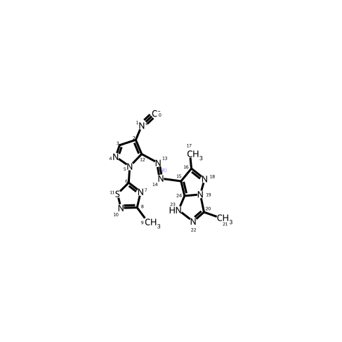 [C-]#[N+]c1cnn(-c2nc(C)ns2)c1/N=N/c1c(C)nn2c(C)n[nH]c12